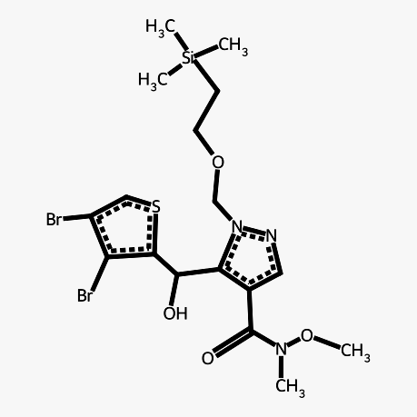 CON(C)C(=O)c1cnn(COCC[Si](C)(C)C)c1C(O)c1scc(Br)c1Br